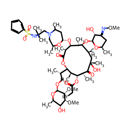 CO/N=C1\C[C@@H](C)O[C@@H](O[C@@H]2[C@@H](C)[C@H](O[C@H]3CC(C)N(CC(C)(C)NS(=O)(=O)c4ccccc4)C[C@H](C)O3)[C@@H](C)C(=O)O[C@H]([C@@H](C)CO[C@@H]3O[C@H](C)[C@@H](O)[C@@H](OC)[C@H]3OC)[C@H](C)[C@@H](OC(=O)CC(C)C)[C@@H](C)C(=O)[C@@](C)(O)C[C@@H]2C)[C@@H]1O